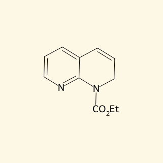 CCOC(=O)N1CC=Cc2cccnc21